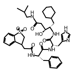 CC(C)CNC(=O)C[C@H](O)[C@H](CC1CCCCC1)NC(=O)[C@H](Cc1c[nH]cn1)NC(=O)[C@H](Cc1ccccc1)NC(=O)CC1CS(=O)(=O)c2ccccc21